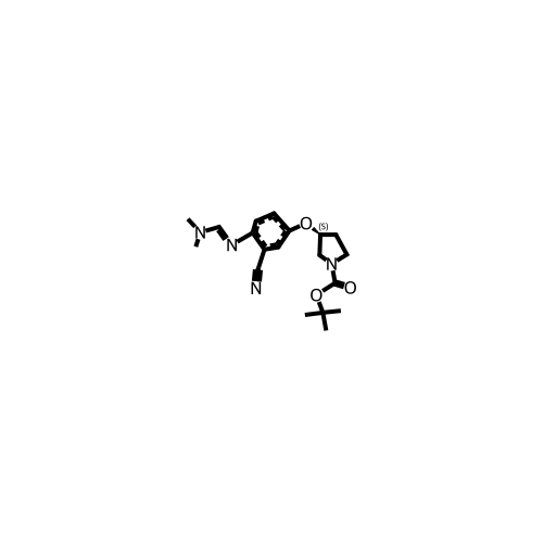 CN(C)C=Nc1ccc(O[C@H]2CCN(C(=O)OC(C)(C)C)C2)cc1C#N